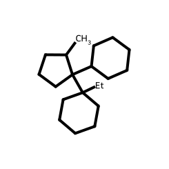 CCC1(C2(C3CCCCC3)CCCC2C)CCCCC1